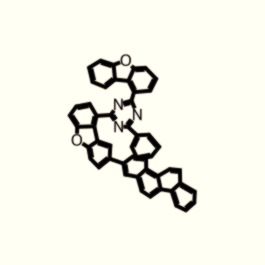 c1ccc(-c2nc(-c3cccc4oc5ccccc5c34)nc(-c3cccc4oc5ccc(-c6ccc7c(ccc8c9ccccc9ccc78)c6)cc5c34)n2)cc1